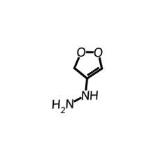 NNC1=COOC1